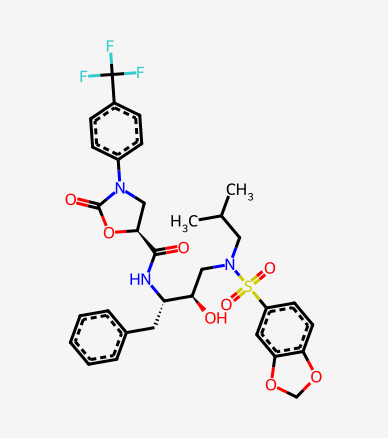 CC(C)CN(C[C@@H](O)[C@H](Cc1ccccc1)NC(=O)[C@@H]1CN(c2ccc(C(F)(F)F)cc2)C(=O)O1)S(=O)(=O)c1ccc2c(c1)OCO2